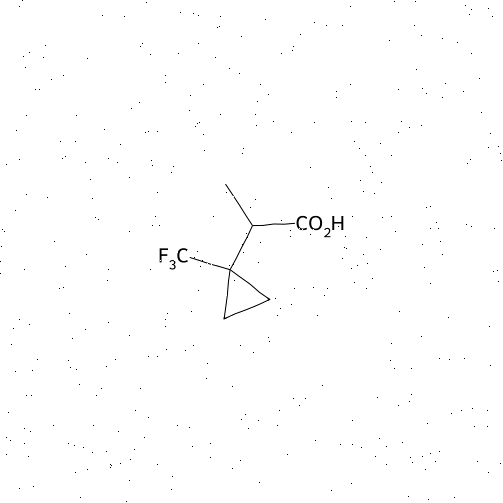 CC(C(=O)O)C1(C(F)(F)F)CC1